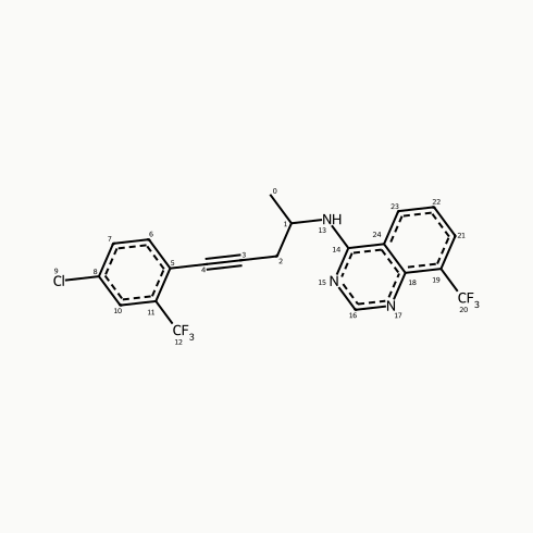 CC(CC#Cc1ccc(Cl)cc1C(F)(F)F)Nc1ncnc2c(C(F)(F)F)cccc12